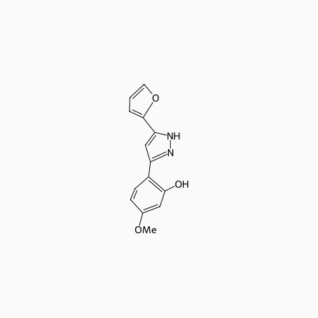 COc1ccc(-c2cc(-c3ccco3)[nH]n2)c(O)c1